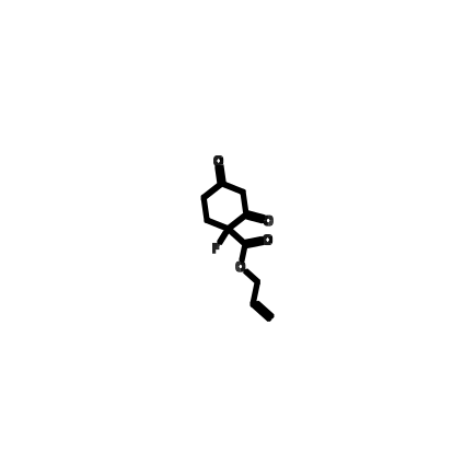 C=CCOC(=O)C1(F)CCC(=O)CC1=O